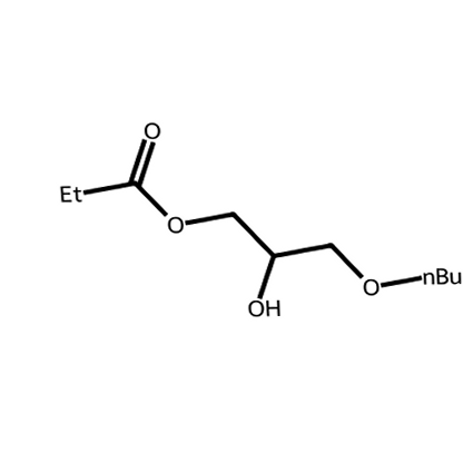 CCCCOCC(O)COC(=O)CC